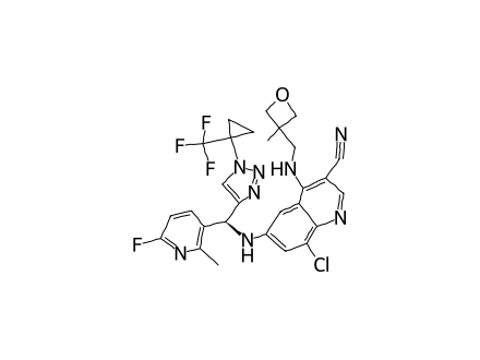 Cc1nc(F)ccc1[C@H](Nc1cc(Cl)c2ncc(C#N)c(NCC3(C)COC3)c2c1)c1cn(C2(C(F)(F)F)CC2)nn1